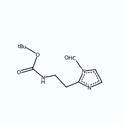 CC(C)(C)OC(=O)NCCc1nccn1C=O